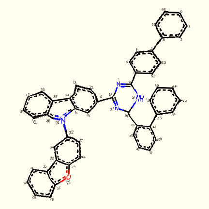 c1ccc(-c2ccc(C3=NC(c4ccc5c6ccccc6n(-c6ccc7oc8ccccc8c7c6)c5c4)=NC(c4ccccc4-c4ccccc4)N3)cc2)cc1